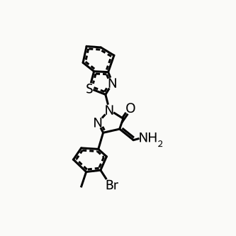 Cc1ccc(C2=NN(c3nc4ccccc4s3)C(=O)C2=CN)cc1Br